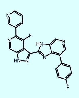 Fc1ccc(-c2cncc3[nH]c(-c4n[nH]c5cnc(-c6cccnc6)c(F)c45)nc23)cc1